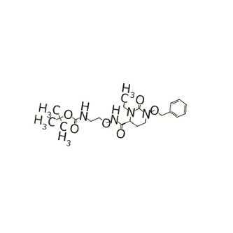 CCN1C(=O)N(OCc2ccccc2)CC[C@H]1C(=O)NOCCNC(=O)OC(C)(C)C